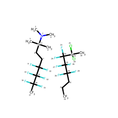 CN(C)[Si](C)(C)CCC(F)(F)C(F)(F)C(F)(F)C(F)(F)F.C[Si](Cl)(Cl)C(F)(F)C(F)(F)C(F)(F)CCC(F)(F)F